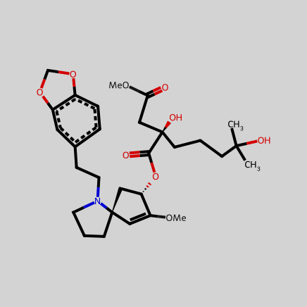 COC(=O)C[C@](O)(CCCC(C)(C)O)C(=O)O[C@H]1C[C@@]2(C=C1OC)CCCN2CCc1ccc2c(c1)OCO2